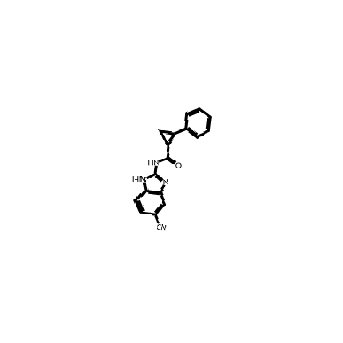 N#Cc1ccc2[nH]c(NC(=O)C3CC3c3ccccc3)nc2c1